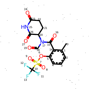 Cc1cccc(OS(=O)(=O)C(F)(F)F)c1C(=O)N(C=O)C1CCC(=O)NC1=O